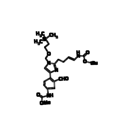 COC(=O)Nc1ccc(-c2cn(COCC[Si](C)(C)C)c(CCC=CNC(=O)OC(C)(C)C)n2)c(C=O)c1